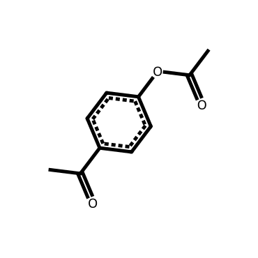 CC(=O)Oc1ccc(C(C)=O)cc1